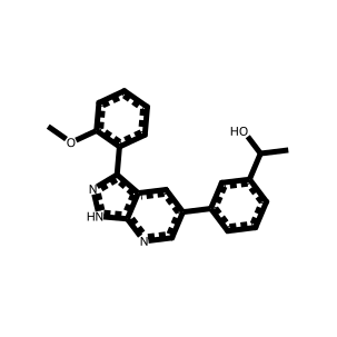 COc1ccccc1-c1n[nH]c2ncc(-c3cccc(C(C)O)c3)cc12